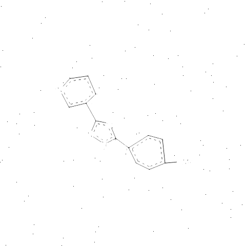 CSc1ccc(-c2nnc(-c3cccnc3)o2)cc1